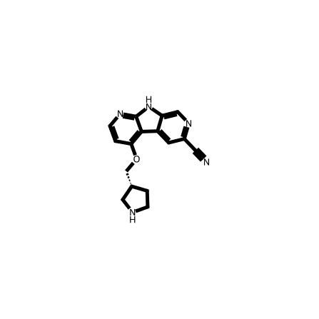 N#Cc1cc2c(cn1)[nH]c1nccc(OC[C@@H]3CCNC3)c12